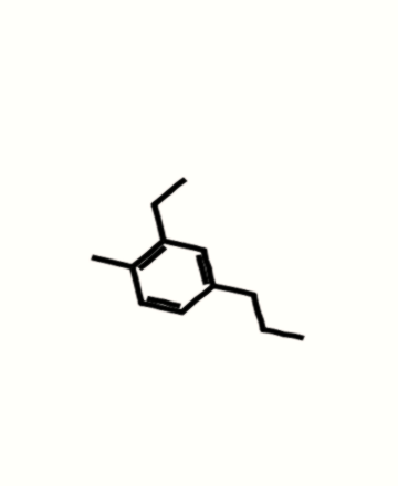 CCCc1ccc(C)c(CC)c1